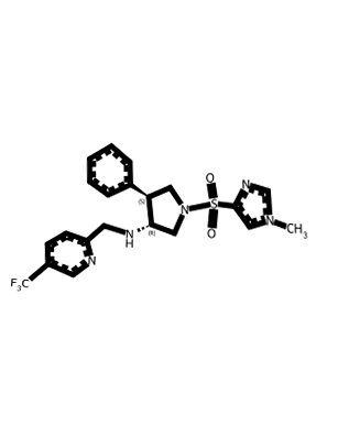 Cn1cnc(S(=O)(=O)N2C[C@H](NCc3ccc(C(F)(F)F)cn3)[C@@H](c3ccccc3)C2)c1